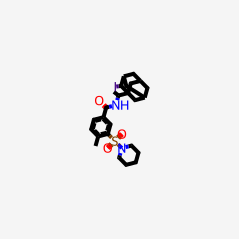 Cc1ccc(C(=O)NC(C)C23CC4CC(CC(C4)C2I)C3)cc1S(=O)(=O)N1CCCCC1